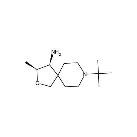 C[C@@H]1OCC2(CCN(C(C)(C)C)CC2)[C@@H]1N